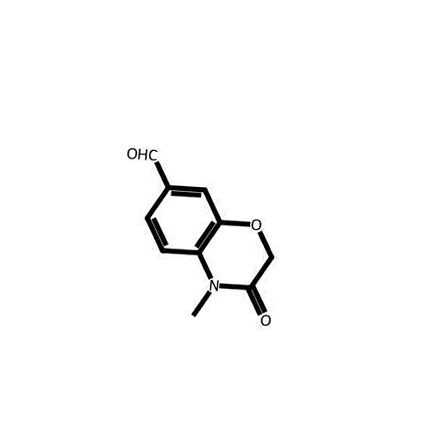 CN1C(=O)COc2cc(C=O)ccc21